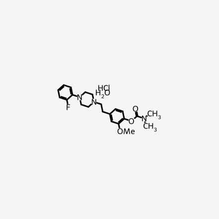 COc1cc(CCN2CCN(c3ccccc3F)CC2)ccc1OC(=O)N(C)C.Cl.O